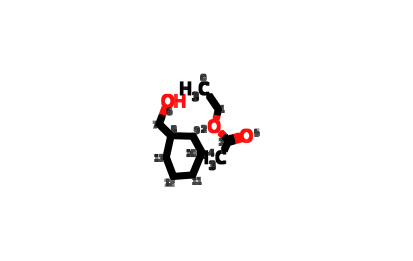 CCOC(C)=O.OCC1CCCCC1